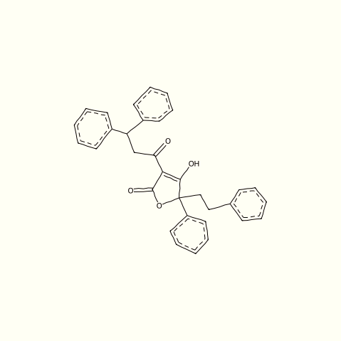 O=C(CC(c1ccccc1)c1ccccc1)C1=C(O)C(CCc2ccccc2)(c2ccccc2)OC1=O